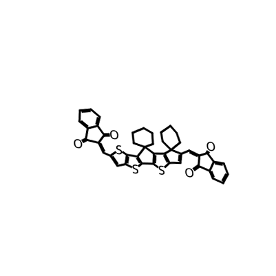 O=C1C(=CC2=Cc3sc4c(c3C23CCCCC3)C2(CCCCC2)c2c-4sc3cc(C=C4C(=O)c5ccccc5C4=O)sc23)C(=O)c2ccccc21